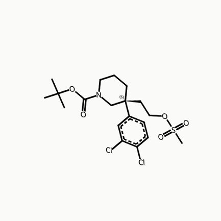 CC(C)(C)OC(=O)N1CCC[C@](CCOS(C)(=O)=O)(c2ccc(Cl)c(Cl)c2)C1